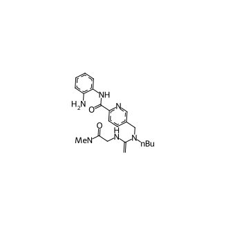 C=C(NCC(=O)NC)N(CCCC)Cc1ccc(C(=O)Nc2ccccc2N)nc1